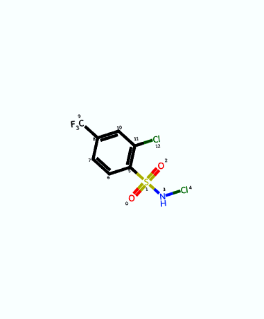 O=S(=O)(NCl)c1ccc(C(F)(F)F)cc1Cl